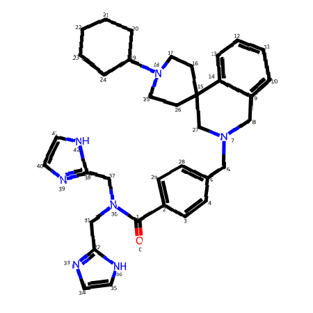 O=C(c1ccc(CN2Cc3ccccc3C3(CCN(C4CCCCC4)CC3)C2)cc1)N(Cc1ncc[nH]1)Cc1ncc[nH]1